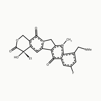 CC[C@@]1(O)C(=O)OCc2c1cc1n(c2=O)Cc2c-1c(=O)c1cc(F)cc(CNC)c1n2C